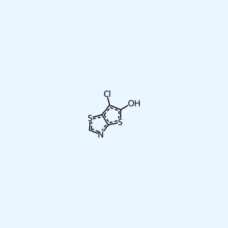 Oc1sc2ncsc2c1Cl